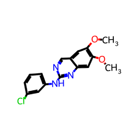 COc1cc2cnc(Nc3cccc(Cl)c3)nc2cc1OC